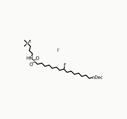 CCCCCCCCCCCCCCCCCC(F)CCCCCCCS(=O)(=O)NCCC[N+](C)(C)C.[I-]